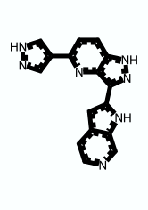 c1cc2cc(-c3n[nH]c4ccc(-c5cn[nH]c5)nc34)[nH]c2cn1